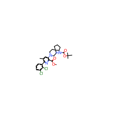 COC(=O)c1nc(-c2cccc(Cl)c2Cl)c(C)cc1N1CCC2(CCCC2NC(=O)OC(C)(C)C)CC1